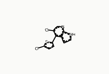 Clc1ccc(-c2c(Cl)cnc3[nH]ccc23)s1